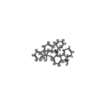 Cn1c2ccccc2c2c(-n3c4ccccc4c4ccc5c(c43)C(C)(C)c3ccccc3-5)cccc21